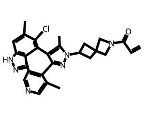 C=CC(=O)N1CC2(CC(n3nc(-c4c(C)cncc4C)c(-c4c(Cl)c(C)cc5[nH]ncc45)c3C)C2)C1